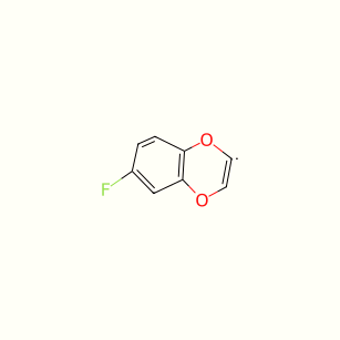 Fc1ccc2c(c1)OC=[C]O2